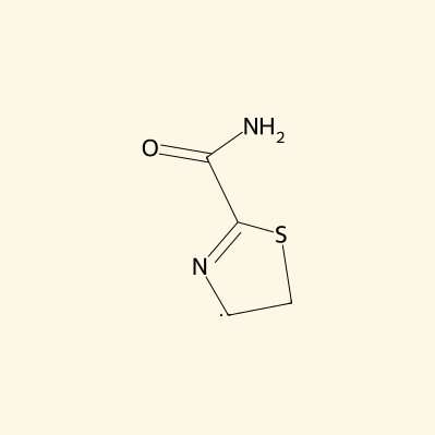 NC(=O)C1=N[CH]CS1